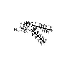 CC(C)(C)OC(=O)N(CCC(F)(F)C(F)(F)C(F)(F)C(F)(F)C(F)(F)C(F)(F)C(F)(F)C(F)(F)F)[C@@](CCC(F)(F)C(F)(F)C(F)(F)C(F)(F)C(F)(F)C(F)(F)C(F)(F)C(F)(F)F)(CC(=O)O)C(=O)O